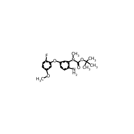 COc1ccc(F)c(Oc2ccc(N)c(N(C)C(=O)OC(C)(C)C)c2)c1